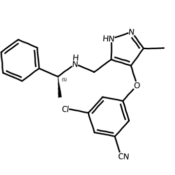 Cc1n[nH]c(CN[C@@H](C)c2ccccc2)c1Oc1cc(Cl)cc(C#N)c1